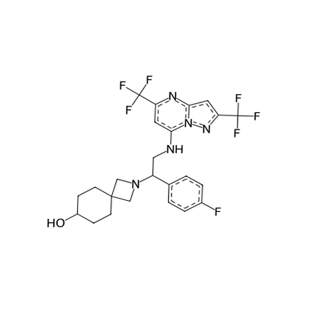 OC1CCC2(CC1)CN(C(CNc1cc(C(F)(F)F)nc3cc(C(F)(F)F)nn13)c1ccc(F)cc1)C2